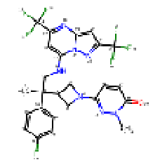 Cn1nc(N2CC([C@@](C)(CNc3cc(C(F)(F)F)nc4cc(C(F)(F)F)nn34)c3ccc(F)cc3)C2)ccc1=O